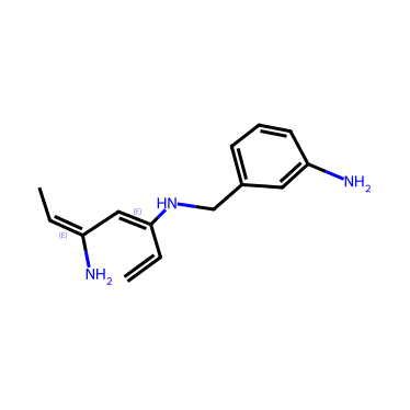 C=C/C(=C\C(N)=C/C)NCc1cccc(N)c1